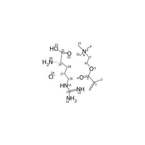 C=C(C)C(=O)OCC[N+](C)(C)C.N=C(N)NCCC[C@H](N)C(=O)O.[Cl-]